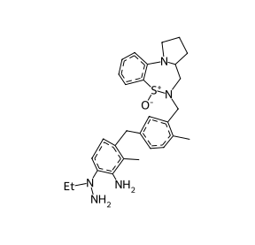 CCN(N)c1ccc(Cc2ccc(C)c(CN3CC4CCCN4c4ccccc4[S+]3[O-])c2)c(C)c1N